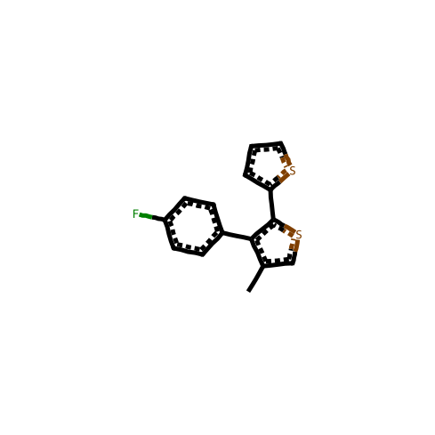 Cc1csc(-c2cccs2)c1-c1ccc(F)cc1